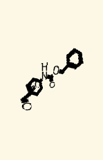 O=CC12CCC(NC(=O)OCc3ccccc3)(CC1)CC2